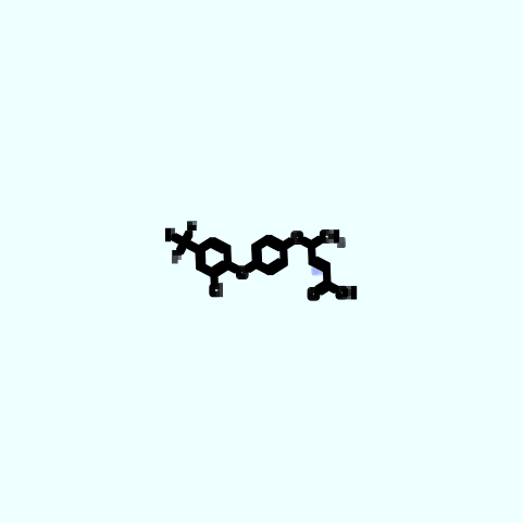 CC(/C=C/C(=O)O)Oc1ccc(Oc2ccc(C(F)(F)F)cc2Cl)cc1